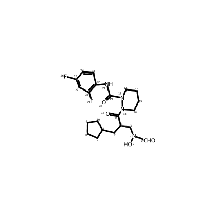 O=CN(O)C[C@@H](CC1CCCC1)C(=O)N1CCCCN1C(=O)Nc1ccc(F)cc1F